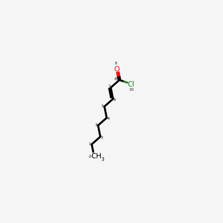 CCCCCCC=CC(=O)Cl